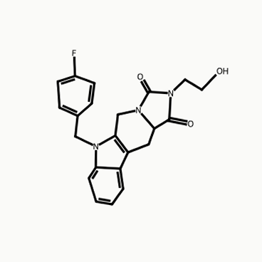 O=C1C2Cc3c(n(Cc4ccc(F)cc4)c4ccccc34)CN2C(=O)N1CCO